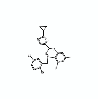 Cc1cc(F)c2c(c1)OC(c1cnc(C3CC3)s1)N=C2Cc1cc(Cl)ccc1Br